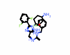 C=C(/N=C\c1nc(-c2c(F)cccc2F)n(C2CCC(N)CC2)c1N)NCc1ccccc1F